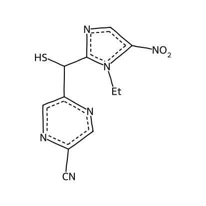 CCn1c([N+](=O)[O-])cnc1C(S)c1cnc(C#N)cn1